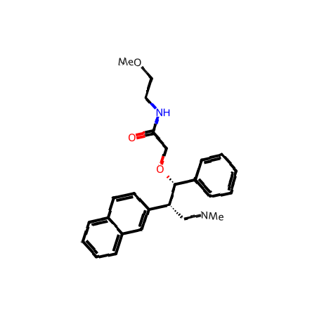 CNC[C@H](c1ccc2ccccc2c1)[C@H](OCC(=O)NCCOC)c1ccccc1